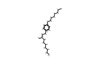 CCCCCCCCc1ccc(CCN(C)CCCCCCC)cc1